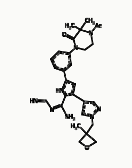 CC(=O)N1CCN(c2cccc(-c3cc(-c4cnn(CC5(C)COC5)c4)c(/C(N)=N\C=N)[nH]3)c2)C(=O)C1(C)C